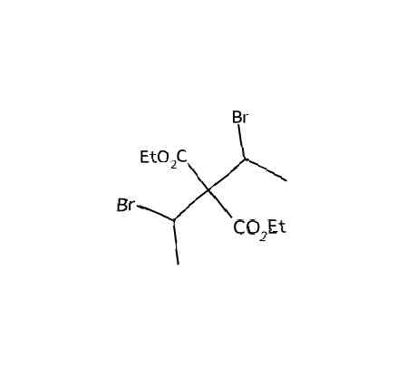 CCOC(=O)C(C(=O)OCC)(C(C)Br)C(C)Br